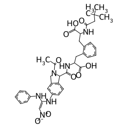 CC(=O)N1Cc2cc(NC(=C[N+](=O)[O-])Nc3ccccc3)ccc2C1C(=O)NC(Cc1ccccc1CC(NC(=O)CC(C)(C)C)C(=O)O)C(=O)O